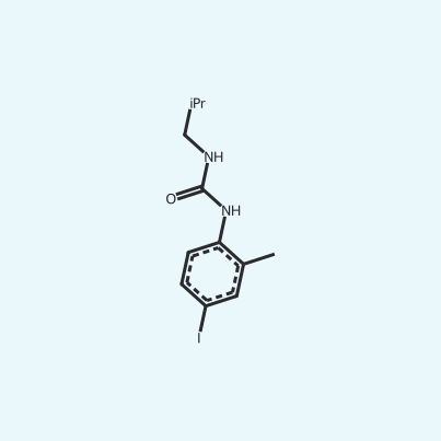 Cc1cc(I)ccc1NC(=O)NCC(C)C